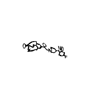 O=C(CN1CCC(c2noc3cc(F)ccc23)CC1)c1cc2c3c(c1)CCC(=O)N3CCC2